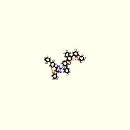 c1ccc(-c2ccc(-c3nc(-n4c5ccccc5c5c6oc7cc(-c8cccc9c8oc8ccccc89)c8ccccc8c7c6ccc54)nc4c3oc3ccccc34)cc2)cc1